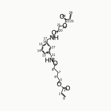 C=CC(=O)OCCCCONCc1cccc(CNOCCOC(=O)C=C)c1